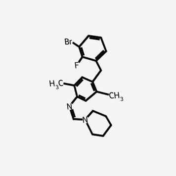 Cc1cc(/N=C\N2CCCCC2)c(C)cc1Cc1cccc(Br)c1F